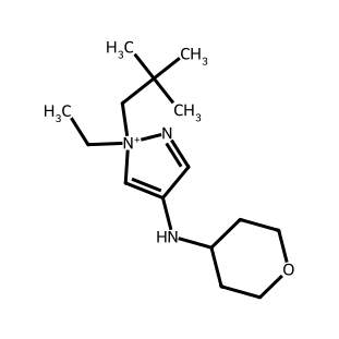 CC[N+]1(CC(C)(C)C)C=C(NC2CCOCC2)C=N1